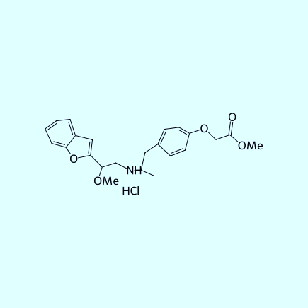 COC(=O)COc1ccc(CC(C)NCC(OC)c2cc3ccccc3o2)cc1.Cl